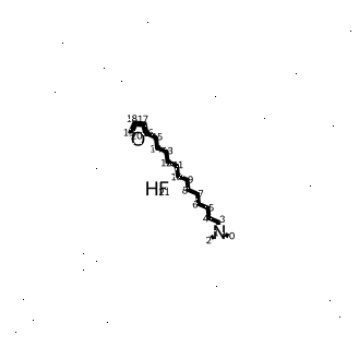 CN(C)CCCCCCCCCCCCCc1ccco1.F